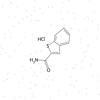 Cl.NC(=O)c1cc2ccccc2s1